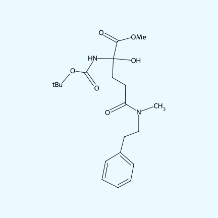 COC(=O)C(O)(CCC(=O)N(C)CCc1ccccc1)NC(=O)OC(C)(C)C